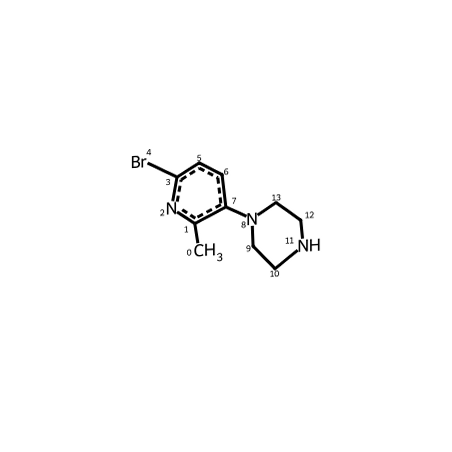 Cc1nc(Br)ccc1N1CCNCC1